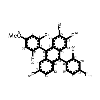 COc1cc(F)c(-c2c3cc(F)ccc3c(-c3ccc(F)cc3F)c3cc(F)c(F)cc23)c(F)c1